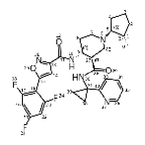 C[C@H]1CCC[C@@H]1N1CC[C@@H](NC(=O)c2cc(-c3c(F)cc(F)cc3F)on2)[C@H](C(=O)NC2(c3ccccn3)CC2)C1